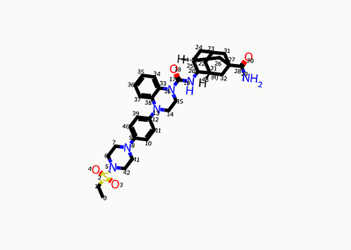 CCS(=O)(=O)N1CCN(c2ccc(N3CCN(C(=O)NC4[C@@H]5CC6C[C@H]4CC(C(N)=O)(C6)C5)c4ccccc43)cc2)CC1